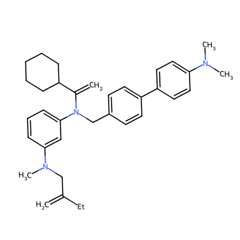 C=C(CC)CN(C)c1cccc(N(Cc2ccc(-c3ccc(N(C)C)cc3)cc2)C(=C)C2CCCCC2)c1